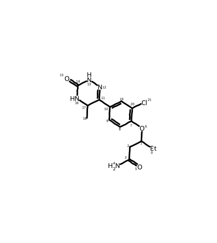 CCC(CC(N)=O)Oc1ccc(C2=NNC(=O)NC2C)cc1Cl